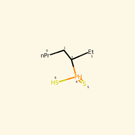 CCCCC(CC)[PH](=S)S